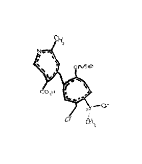 COc1cc([S@@+](C)[O-])c(Cl)cc1-c1cc(C)ncc1C(=O)O